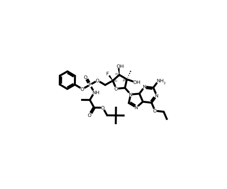 CCOC1=NC(N)=NC2C1N=CN2C1O[C@](F)(COP(=O)(NC(C)C(=O)OCC(C)(C)C)Oc2ccccc2)[C@@H](O)[C@@]1(C)O